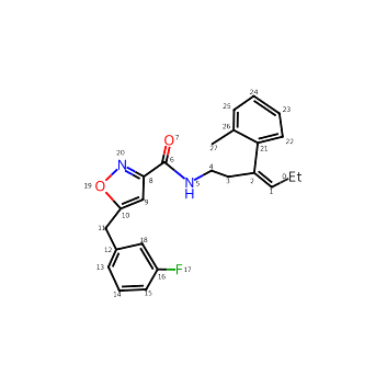 CC/C=C(/CCNC(=O)c1cc(Cc2cccc(F)c2)on1)c1ccccc1C